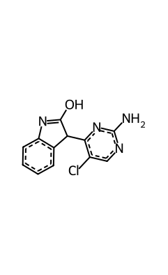 Nc1ncc(Cl)c(C2C(O)=Nc3ccccc32)n1